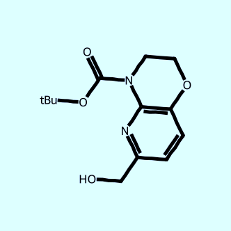 CC(C)(C)OC(=O)N1CCOc2ccc(CO)nc21